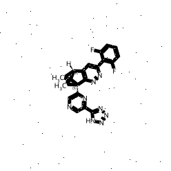 CC1(C)[C@H]2CC[C@]1(c1cncc(-c3nnn[nH]3)n1)c1nnc(-c3c(F)cccc3F)cc12